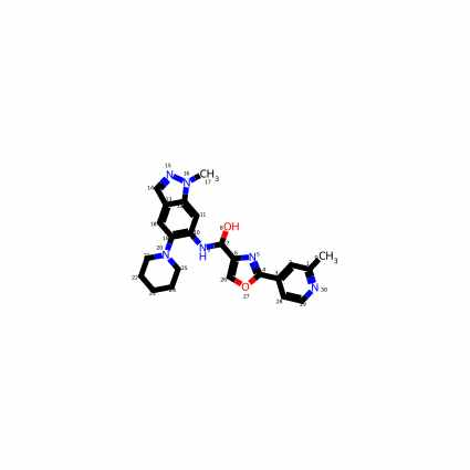 Cc1cc(-c2nc(C(O)Nc3cc4c(cnn4C)cc3N3CCCCC3)co2)ccn1